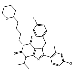 Cc1nc(Cl)ccc1-c1nc2c(c(=O)n(CCCOC3CCCCO3)c(=O)n2C(C)C)n1Cc1ccc(F)cc1